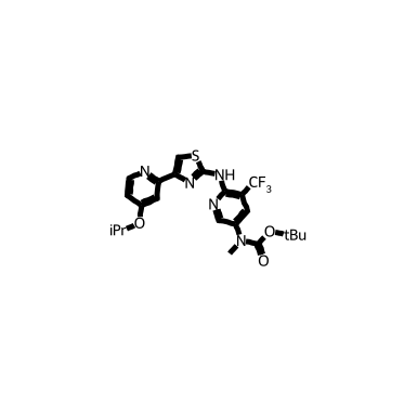 CC(C)Oc1ccnc(-c2csc(Nc3ncc(N(C)C(=O)OC(C)(C)C)cc3C(F)(F)F)n2)c1